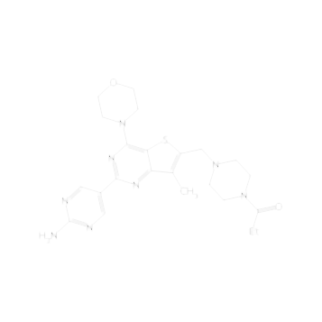 CCC(=O)N1CCN(Cc2sc3c(N4CCOCC4)nc(-c4cnc(N)nc4)nc3c2C)CC1